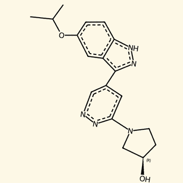 CC(C)Oc1ccc2[nH]nc(-c3cnnc(N4CC[C@@H](O)C4)c3)c2c1